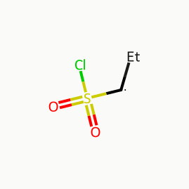 CC[CH]S(=O)(=O)Cl